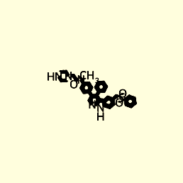 CN(C(=O)CN1CCNCC1)c1ccc(-c2cnc3[nH]c4ccc(CS(=O)(=O)c5ccccc5)cc4c3c2-c2ccccc2)cc1